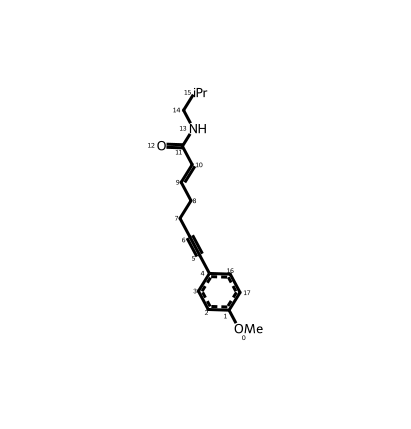 COc1ccc(C#CCC/C=C/C(=O)NCC(C)C)cc1